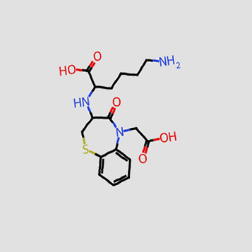 NCCCCC(NC1CSc2ccccc2N(CC(=O)O)C1=O)C(=O)O